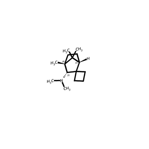 CN(C)[C@H]1C2(CCC2)[C@H]2CC[C@]1(C)C2(C)C